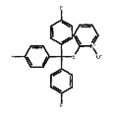 [O-][n+]1ccccc1SC(c1ccc(F)cc1)(c1ccc(F)cc1)c1ccc(F)cc1